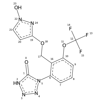 O=c1[nH]nnn1-c1cccc(OC(F)(F)F)c1COc1ccn(O)n1